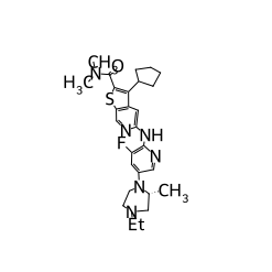 CCN1CCN(c2cnc(Nc3cc4c(C5CCCC5)c(C(=O)N(C)C)sc4cn3)c(F)c2)[C@H](C)C1